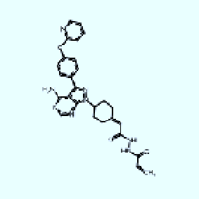 C=CC(=O)NNC(=O)C=C1CCC(n2nc(-c3ccc(Oc4ccccn4)cc3)c3c(N)ncnc32)CC1